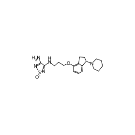 Nc1n[s+]([O-])nc1NCCCOc1cccc2c1CCC2N1CCCCC1